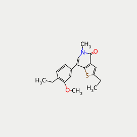 CCc1cc2c(=O)n(C)cc(-c3ccc(CC)c(OC)c3)c2s1